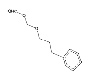 O=[C]OCOCCCc1ccccc1